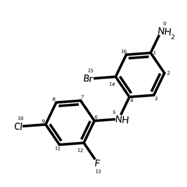 Nc1ccc(Nc2ccc(Cl)cc2F)c(Br)c1